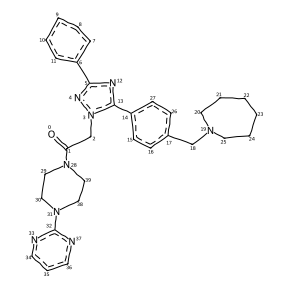 O=C(Cn1nc(-c2ccccc2)nc1-c1ccc(CN2CCCCCC2)cc1)N1CCN(c2ncccn2)CC1